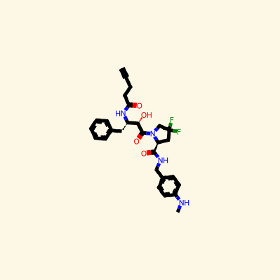 C#CCCC(=O)N[C@@H](Cc1ccccc1)[C@H](O)C(=O)N1CC(F)(F)C[C@H]1C(=O)NCc1ccc(NC)cc1